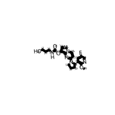 COc1ncc(F)cc1[C@H]1CCCN1c1ccn2ncc(OC(=O)NCCCO)c2n1